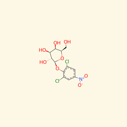 O=[N+]([O-])c1cc(Cl)c(O[C@@H]2O[C@H](CO)[C@H](O)[C@H](O)[C@H]2O)c(Cl)c1